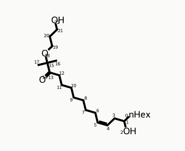 CCCCCCC(O)C/C=C\CCCCCCCC(=O)C(C)(C)OCCCO